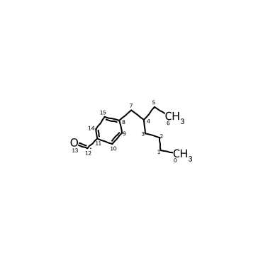 CCCCC(CC)Cc1ccc([C]=O)cc1